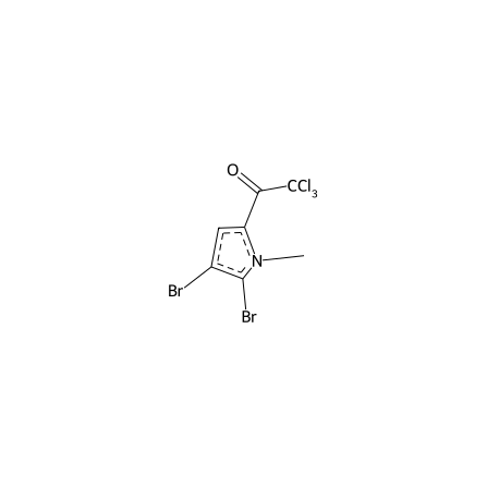 Cn1c(C(=O)C(Cl)(Cl)Cl)cc(Br)c1Br